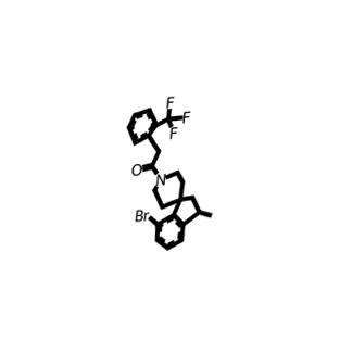 CC1CC2(CCN(C(=O)Cc3ccccc3C(F)(F)F)CC2)c2c(Br)cccc21